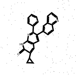 O=c1[nH]c2nc(-c3ccccc3)c(-c3ccc4ncccc4c3)cc2cc1C1CC1